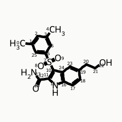 Cc1cc(C)cc(S(=O)(=O)c2c(C(N)=O)[nH]c3ccc(CCO)cc23)c1